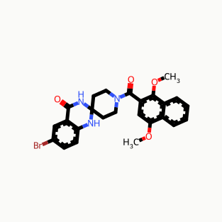 COc1cc(C(=O)N2CCC3(CC2)NC(=O)c2cc(Br)ccc2N3)c(OC)c2ccccc12